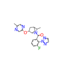 Cc1cnc(OC2CC3CC2N(C(=O)c2cccc(F)c2-n2nccn2)C3C)cn1